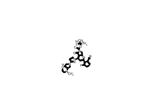 CN1CCO[C@@H]2CN(c3ccn(-c4cc(-c5c(F)cccc5C#N)nc5c4C(=O)N(C(=O)OC(C)(C)C)C5)n3)CC21